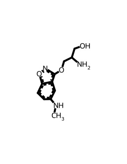 CNc1ccc2onc(OCC(N)CO)c2c1